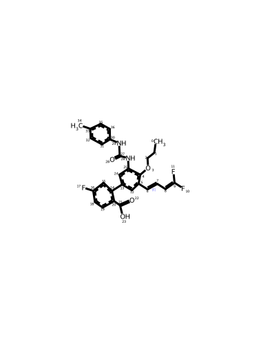 CCCOc1c(/C=C/C=C(F)F)cc(-c2cc(F)ccc2C(=O)O)cc1NC(=O)Nc1ccc(C)cc1